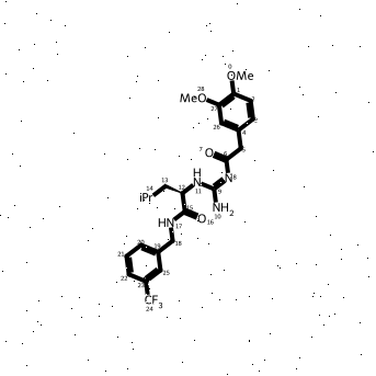 COc1ccc(CC(=O)N=C(N)N[C@H](CC(C)C)C(=O)NCc2cccc(C(F)(F)F)c2)cc1OC